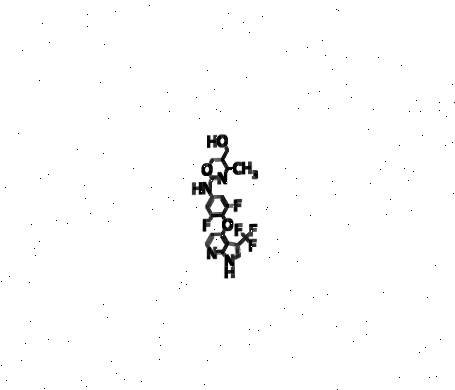 CC1N=C(Nc2cc(F)c(Oc3ccnc4[nH]cc(C(F)(F)F)c34)c(F)c2)OCC1CO